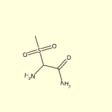 CS(=O)(=O)C(N)C(N)=O